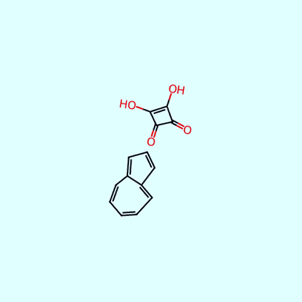 O=c1c(O)c(O)c1=O.c1ccc2cccc-2cc1